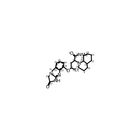 CCC(CC(C(=O)NC)N1CCCC2CCCCC21)Oc1cccc2c1N=C1NC(=O)CN1C2